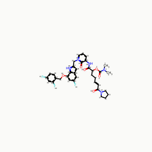 CN(C)C(=O)OC(CCC=CC(=O)N1CCCC1)C(=O)Nc1cccn(Cc2cc3cc(F)cc(OCc4ccc(F)cc4F)c3[nH]2)c1=O